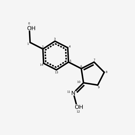 OCc1ccc(C2=CCCC2=NO)cc1